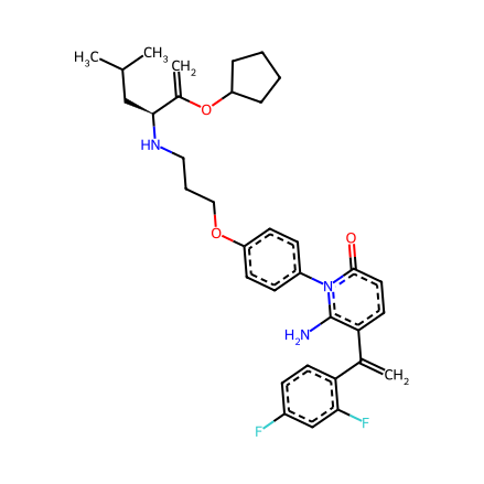 C=C(c1ccc(F)cc1F)c1ccc(=O)n(-c2ccc(OCCCN[C@@H](CC(C)C)C(=C)OC3CCCC3)cc2)c1N